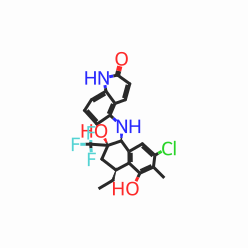 CC[C@H]1C[C@](O)(C(F)(F)F)[C@@H](Nc2cccc3[nH]c(=O)ccc23)c2cc(Cl)c(C)c(O)c21